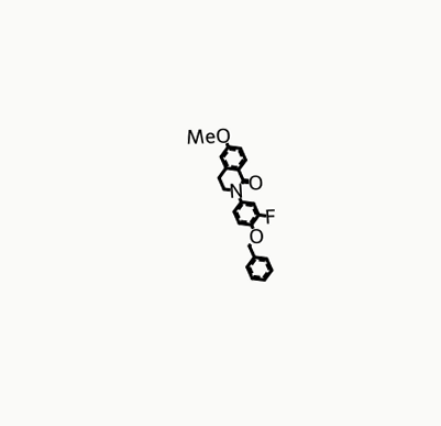 COc1ccc2c(c1)CCN(c1ccc(OCc3ccccc3)c(F)c1)C2=O